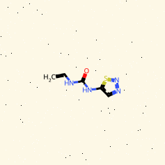 C=CNC(=O)Nc1cnns1